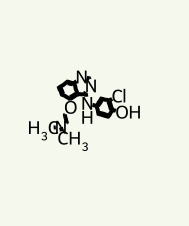 CN(C)CCOc1cccc2ncnc(Nc3ccc(O)c(Cl)c3)c12